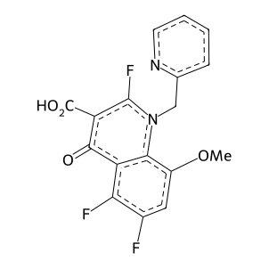 COc1cc(F)c(F)c2c(=O)c(C(=O)O)c(F)n(Cc3ccccn3)c12